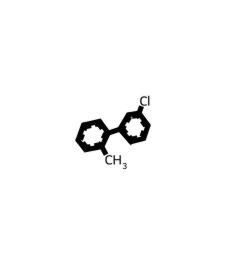 Cc1ccccc1-c1[c]ccc(Cl)c1